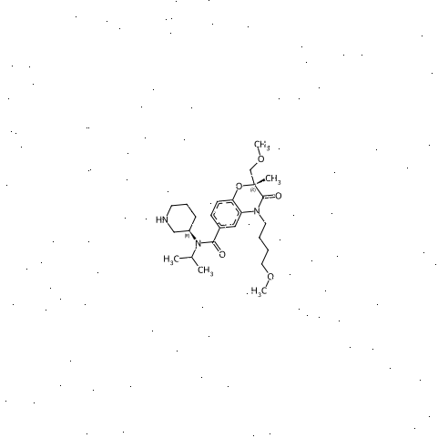 COCCCCN1C(=O)[C@@](C)(COC)Oc2ccc(C(=O)N(C(C)C)[C@@H]3CCCNC3)cc21